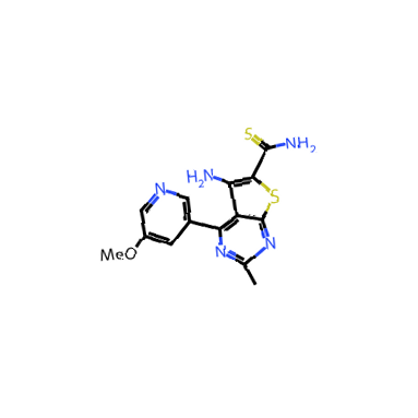 COc1cncc(-c2nc(C)nc3sc(C(N)=S)c(N)c23)c1